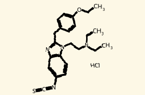 CCOc1ccc(Cc2nc3cc(N=C=S)ccc3n2CCN(CC)CC)cc1.Cl